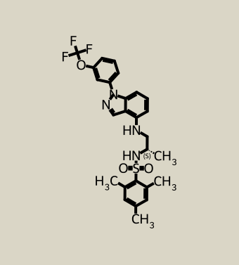 Cc1cc(C)c(S(=O)(=O)N[C@@H](C)CNc2cccc3c2cnn3-c2cccc(OC(F)(F)F)c2)c(C)c1